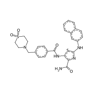 NC(=O)c1nc(Nc2ccc3ccccc3c2)sc1NC(=O)c1ccc(CN2CCS(=O)(=O)CC2)cc1